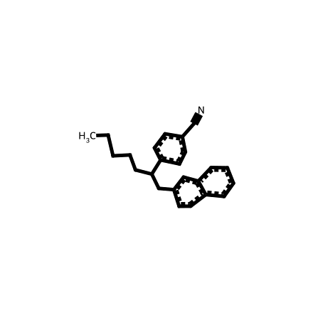 CCCCCC(Cc1ccc2ccccc2c1)c1ccc(C#N)cc1